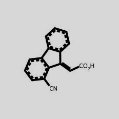 N#Cc1cccc2c1C(=CC(=O)O)c1ccccc1-2